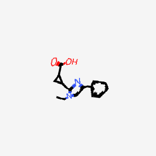 CCn1cc(-c2ccccc2)nc1C1CC1C(=O)O